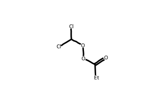 CCC(=O)OOC(Cl)Cl